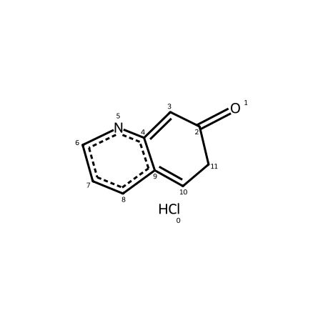 Cl.O=C1C=c2ncccc2=CC1